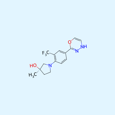 C[C@@]1(O)CCN(c2ccc(C3=NNC=CO3)cc2C(F)(F)F)C1